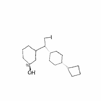 O[C@H]1CCCC(C(CI)[C@H]2CC[C@@H](C3CCC3)CC2)C1